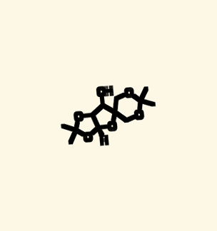 CC1(C)OCC2(CO1)O[C@@H]1OC(C)(C)OC1C2O